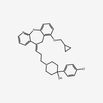 OC1(c2ccc(Cl)cc2)CCN(CCC=C2Cc3c(OCC4CC4)cccc3Oc3ncccc32)CC1